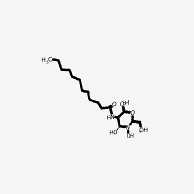 CCCCCCCCCCCC(=O)NC1C(O)OC(CO)N(O)[C@@H]1O